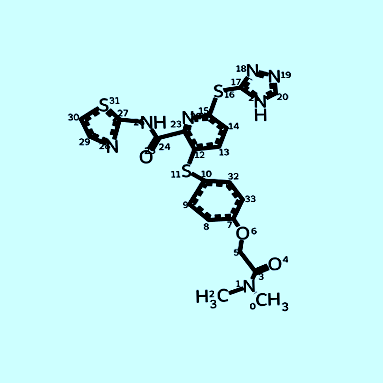 CN(C)C(=O)COc1ccc(Sc2ccc(Sc3nnc[nH]3)nc2C(=O)Nc2nccs2)cc1